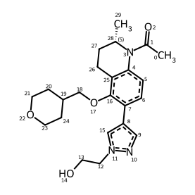 CC(=O)N1c2ccc(-c3cnn(CCO)c3)c(OCC3CCOCC3)c2CC[C@@H]1C